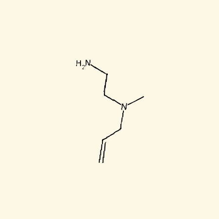 C=CCN(C)CCN